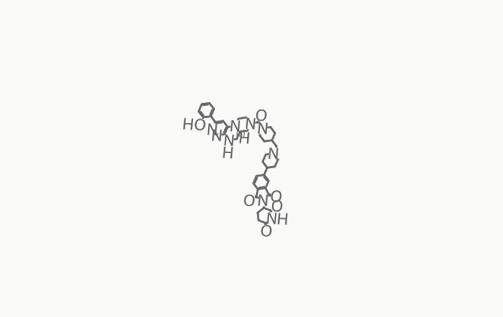 O=C1CCC(N2C(=O)c3ccc(C4CCN(CC5CCN(C(=O)N6CCN7c8cc(-c9ccccc9O)nnc8NC[C@H]7C6)CC5)CC4)cc3C2=O)C(=O)N1